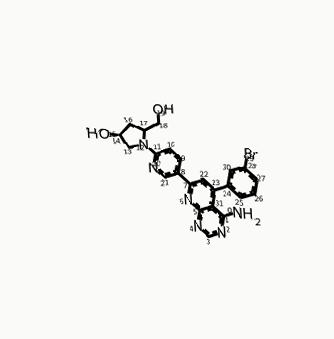 Nc1ncnc2nc(-c3ccc(N4CC(O)CC4CO)nc3)cc(-c3cccc(Br)c3)c12